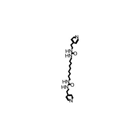 O=C(NCCCCCCCCCNC(=O)NCCc1ccncc1)NCCc1ccncc1